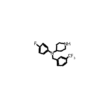 Fc1ccc(N(Cc2cccc(C(F)(F)F)c2)C2CCNCC2)cc1